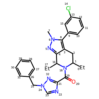 CCC1Cc2c(nn(C)c2-c2cccc(Cl)c2)C(CC)N1C(=O)c1ncn(Cc2ccccc2)n1